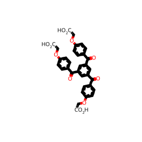 O=C(O)COc1ccc(C(=O)c2cc(C(=O)c3ccc(OCC(=O)O)cc3)cc(C(=O)c3ccc(OCC(=O)O)cc3)c2)cc1